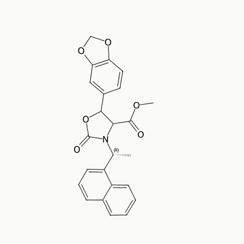 COC(=O)C1C(c2ccc3c(c2)OCO3)OC(=O)N1[C@H](C)c1cccc2ccccc12